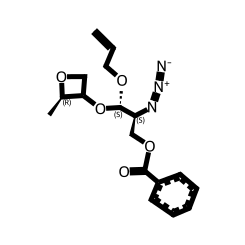 C=CCO[C@@H](OC1CO[C@@H]1C)[C@H](COC(=O)c1ccccc1)N=[N+]=[N-]